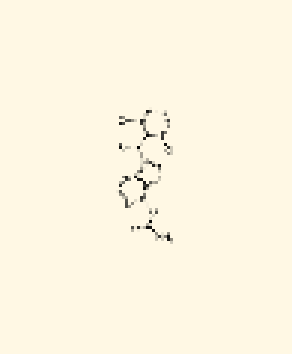 NC(=O)Oc1nccc2c1ccn2C(=O)c1c(Cl)cccc1Cl